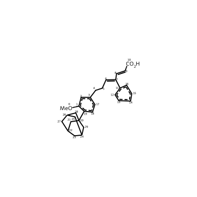 COc1cc(CC/C=C(/C=C/C(=O)O)c2ccccc2)ccc1C12CC3CC(CC(C3)C1)C2